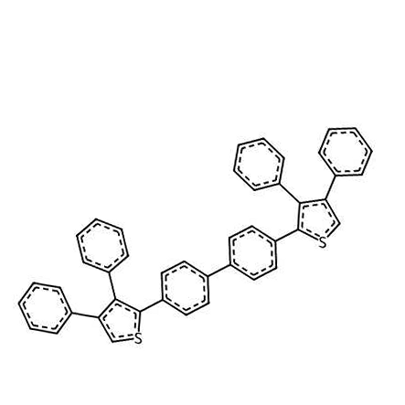 c1ccc(-c2csc(-c3ccc(-c4ccc(-c5scc(-c6ccccc6)c5-c5ccccc5)cc4)cc3)c2-c2ccccc2)cc1